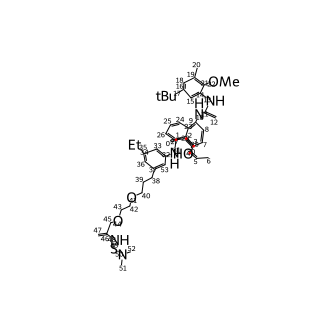 C=C(/C=C(\C=C/C)/C=C\C(NC(=C)Nc1cc(C(C)(C)C)cc(C)c1OC)=c1\cccc\c1=C/O)Nc1cc(CC)cc(CCCOCCOCC(=C)NSN(C)C)c1